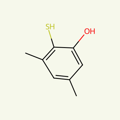 Cc1cc(C)c(S)c(O)c1